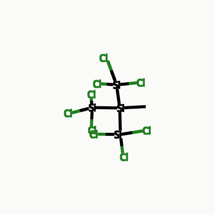 C[Si]([Si](Cl)(Cl)Cl)([Si](Cl)(Cl)Cl)[Si](Cl)(Cl)Cl